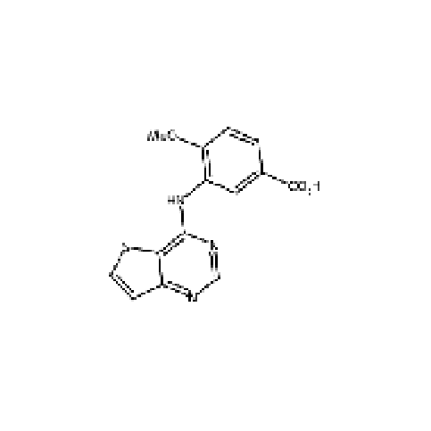 COc1ccc(C(=O)O)cc1Nc1ncnc2ccsc12